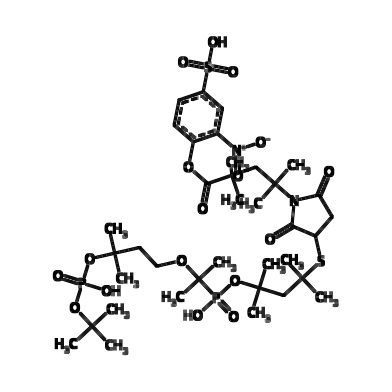 CC(C)(C)OP(=O)(O)OC(C)(C)CCOC(C)(C)P(=O)(O)OC(C)(C)CC(C)(C)SC1CC(=O)N(C(C)(C)CC(C)(C)C(=O)Oc2ccc(S(=O)(=O)O)cc2[N+](=O)[O-])C1=O